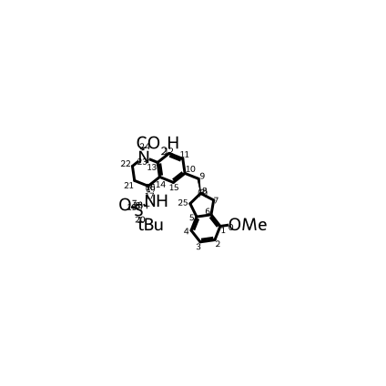 COc1cccc2c1C[C@H](Cc1ccc3c(c1)[C@H](N[S@+]([O-])C(C)(C)C)CCN3C(=O)O)C2